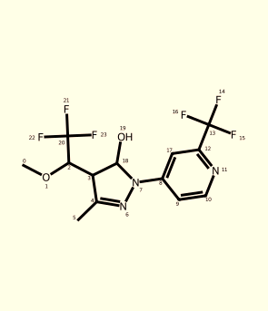 COC(C1C(C)=NN(c2ccnc(C(F)(F)F)c2)C1O)C(F)(F)F